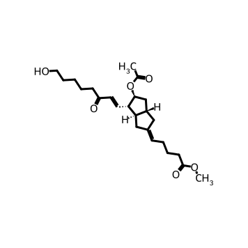 COC(=O)CCC/C=C1\C[C@H]2C[C@H](OC(C)=O)[C@@H](C=CC(=O)CCCCCO)[C@@H]2C1